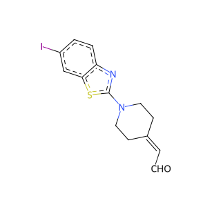 O=CC=C1CCN(c2nc3ccc(I)cc3s2)CC1